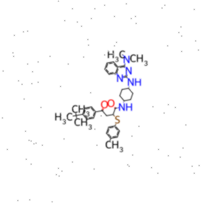 Cc1ccc(SC(CC(=O)c2ccc(C(C)(C)C)cc2)C(=O)N[C@H]2CC[C@@H](Nc3nc(N(C)C)c4ccccc4n3)CC2)cc1